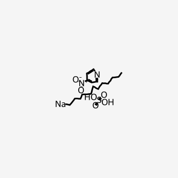 CCCCCCCCCCC[CH2][Na].O=S(=O)(O)O.O=[N+]([O-])c1ccncc1